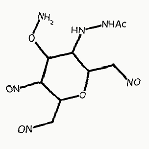 CC(=O)NNC1C(CN=O)OC(CN=O)C(N=O)C1ON